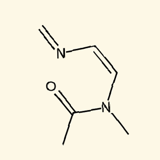 C=N/C=C\N(C)C(C)=O